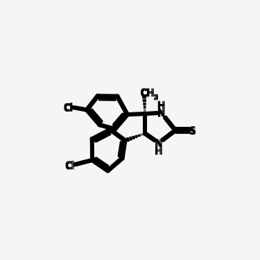 C[C@]1(c2ccc(Cl)cc2)NC(=S)N[C@@H]1c1ccc(Cl)cc1